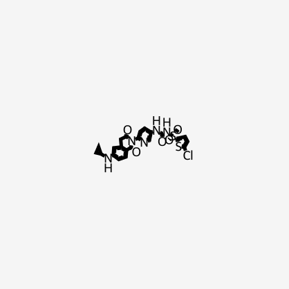 O=C(Nc1ccc(N2C(=O)Cc3cc(NC4CC4)ccc3C2=O)nc1)NS(=O)(=O)c1ccc(Cl)s1